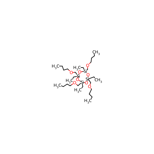 CCCCOC[Si]1(CC)O[Si](CC)(COCCCC)O[Si](CC)(COCCCC)O[Si](CC)(COCCCC)O1